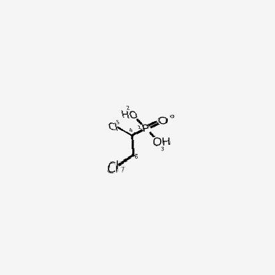 O=P(O)(O)C(Cl)CCl